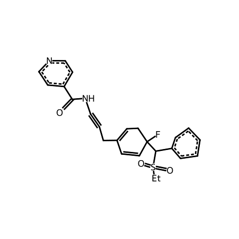 CCS(=O)(=O)C(c1ccccc1)C1(F)C=CC(CC#CNC(=O)c2ccncc2)=CC1